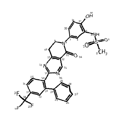 CS(=O)(=O)Nc1cc(N2CCc3nc(-c4ccc(C(F)(F)F)cc4-c4ccccc4)ncc3C2=O)ccc1O